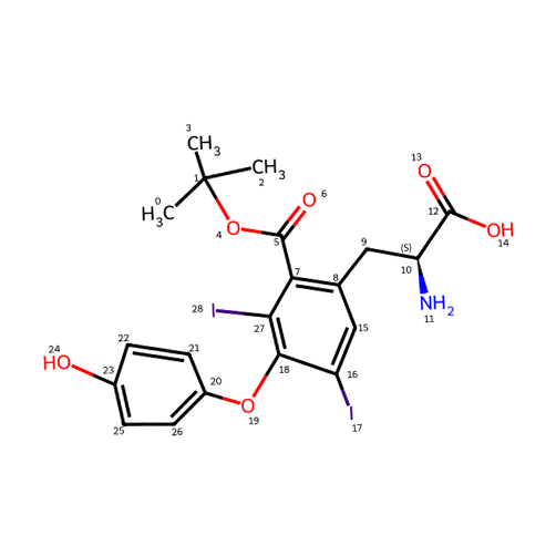 CC(C)(C)OC(=O)c1c(C[C@H](N)C(=O)O)cc(I)c(Oc2ccc(O)cc2)c1I